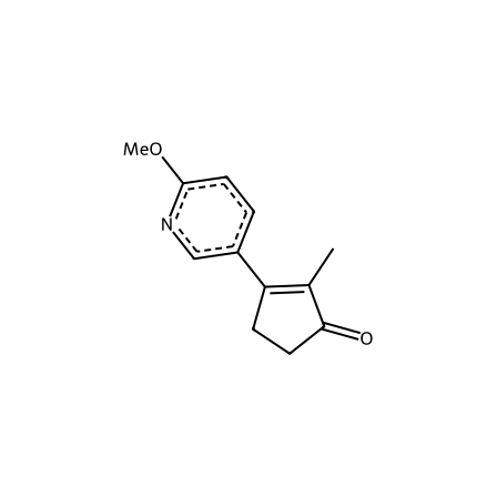 COc1ccc(C2=C(C)C(=O)CC2)cn1